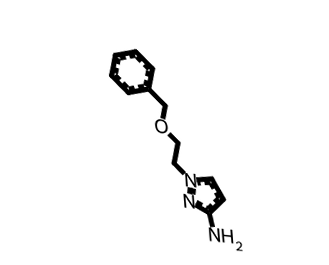 Nc1ccn(CCOCc2ccccc2)n1